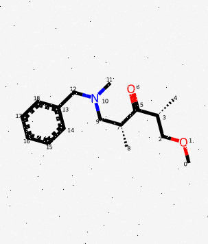 COC[C@@H](C)C(=O)[C@H](C)CN(C)Cc1ccccc1